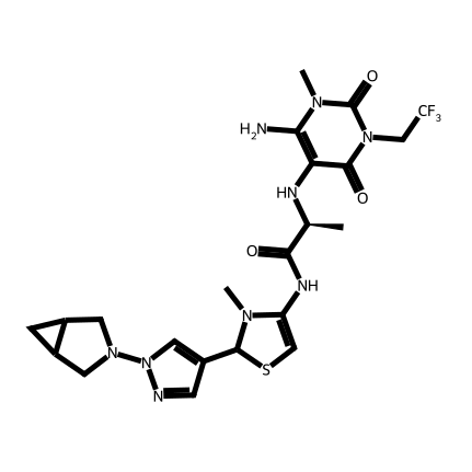 C[C@H](Nc1c(N)n(C)c(=O)n(CC(F)(F)F)c1=O)C(=O)NC1=CSC(c2cnn(N3CC4CC4C3)c2)N1C